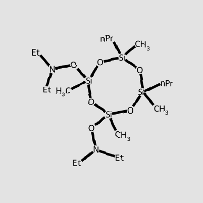 CCC[Si]1(C)O[Si](C)(CCC)O[Si](C)(ON(CC)CC)O[Si](C)(ON(CC)CC)O1